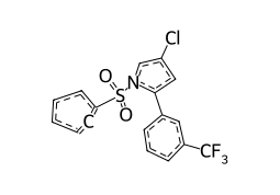 O=S(=O)(c1ccccc1)n1cc(Cl)cc1-c1cccc(C(F)(F)F)c1